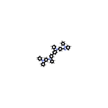 C1=Cc2c(c3cc(-c4ccc5c(c4)c4ccccc4n5-c4ccc5c(c4)c4ccccc4n5-c4ccccc4)ccc3n2-c2ccc(-c3nc4ccccc4n3-c3ccccc3)cc2)CC1